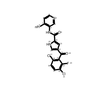 CCCc1ccncc1NC(=O)c1cc(C(=O)c2c(Cl)ccc(Cl)c2F)c[nH]1